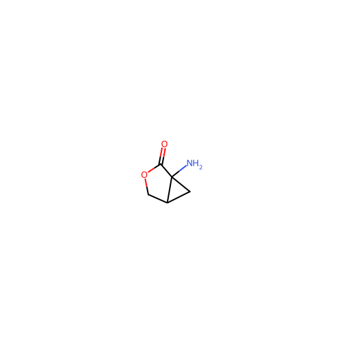 NC12CC1COC2=O